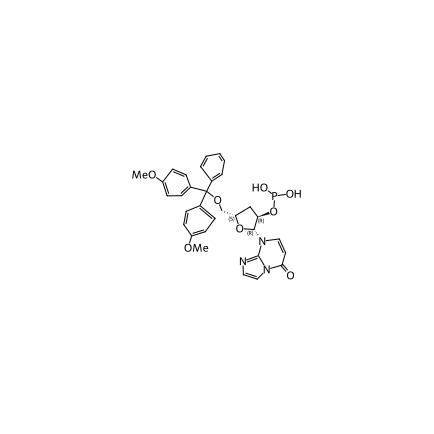 COc1ccc(C(OC[C@@H]2C[C@@H](OP(O)O)[C@H](n3ccc(=O)n4ccnc34)O2)(c2ccccc2)c2ccc(OC)cc2)cc1